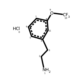 Cl.NCCc1cccc(OC(F)(F)F)c1